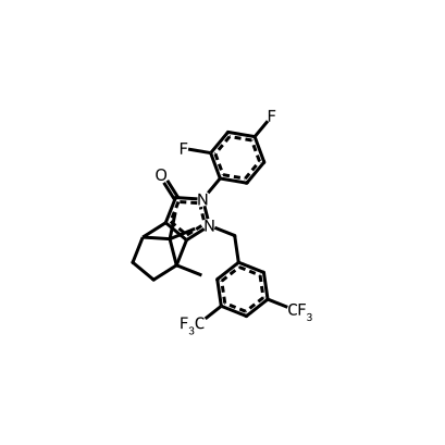 CC12CCC(c3c1n(Cc1cc(C(F)(F)F)cc(C(F)(F)F)c1)n(-c1ccc(F)cc1F)c3=O)C2(C)C